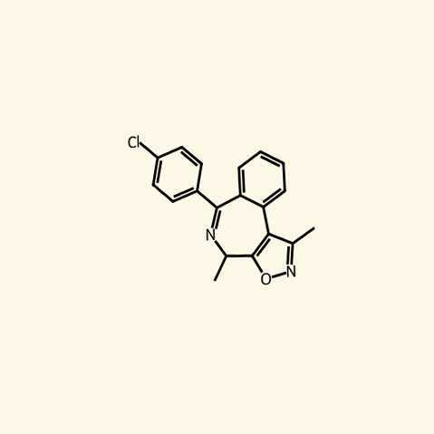 Cc1noc2c1-c1ccccc1C(c1ccc(Cl)cc1)=NC2C